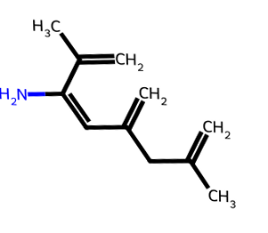 C=C(C)CC(=C)/C=C(/N)C(=C)C